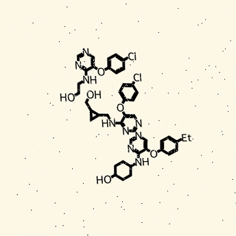 CCc1ccc(Oc2cncnc2NC2CCC(O)CC2)cc1.OCC1CC1CNc1ncncc1Oc1ccc(Cl)cc1.OCCNc1ncncc1Oc1ccc(Cl)cc1